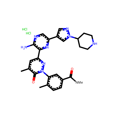 CNC(=O)c1ccc(C)c(-n2nc(-c3nc(-c4cnn(C5CCNCC5)c4)cnc3N)cc(C)c2=O)c1.Cl.Cl